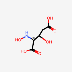 O=C(O)CC(O)[C@H](NO)C(=O)O